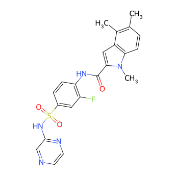 Cc1ccc2c(cc(C(=O)Nc3ccc(S(=O)(=O)Nc4cnccn4)cc3F)n2C)c1C